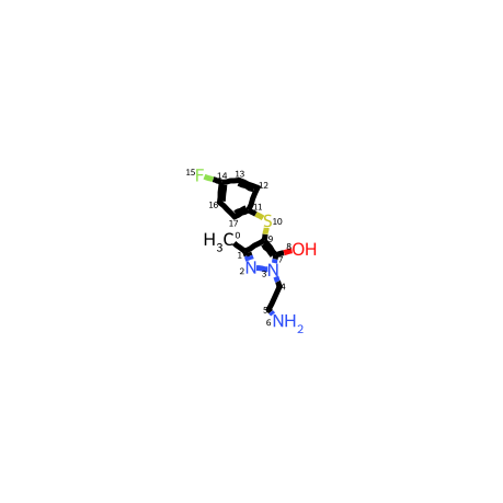 Cc1nn(CCN)c(O)c1Sc1ccc(F)cc1